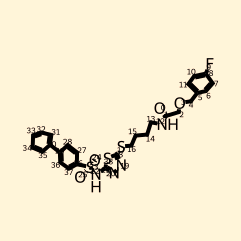 O=C(COCc1ccc(F)cc1)NCCCCSc1nnc(NS(=O)(=O)c2ccc(-c3ccccc3)cc2)s1